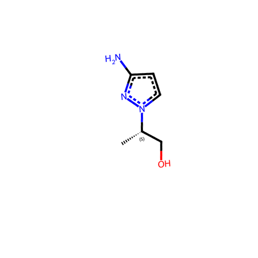 C[C@@H](CO)n1ccc(N)n1